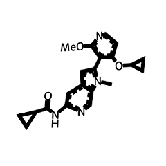 COc1nccc(OC2CC2)c1-c1cc2cc(NC(=O)C3CC3)ncc2n1C